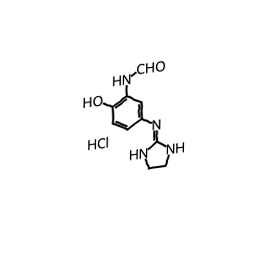 Cl.O=CNc1cc(N=C2NCCN2)ccc1O